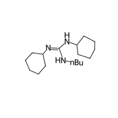 CCCCN/C(=N\C1CCCCC1)NC1CCCCC1